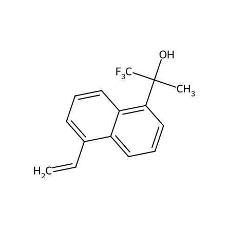 C=Cc1cccc2c(C(C)(O)C(F)(F)F)cccc12